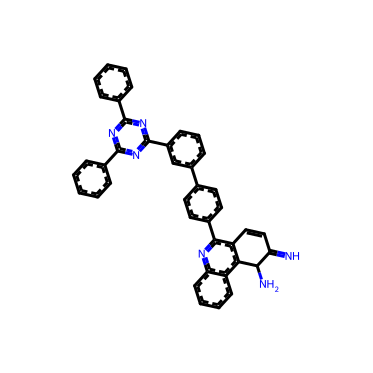 N=C1C=Cc2c(-c3ccc(-c4cccc(-c5nc(-c6ccccc6)nc(-c6ccccc6)n5)c4)cc3)nc3ccccc3c2C1N